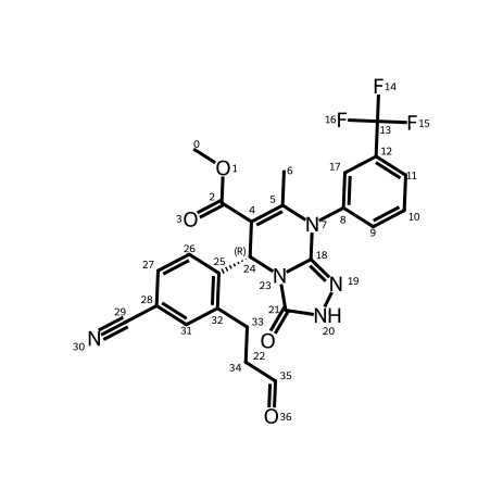 COC(=O)C1=C(C)N(c2cccc(C(F)(F)F)c2)c2n[nH]c(=O)n2[C@@H]1c1ccc(C#N)cc1CCC=O